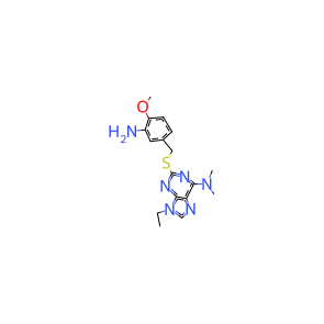 CCn1cnc2c(N(C)C)nc(SCc3ccc(OC)c(N)c3)nc21